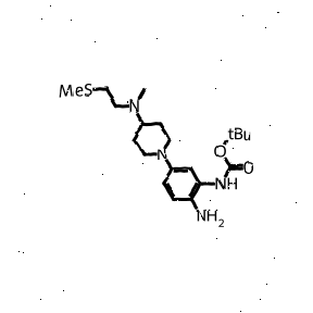 CSCCN(C)C1CCN(c2ccc(N)c(NC(=O)OC(C)(C)C)c2)CC1